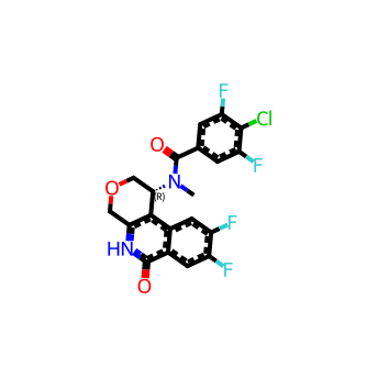 CN(C(=O)c1cc(F)c(Cl)c(F)c1)[C@H]1COCc2[nH]c(=O)c3cc(F)c(F)cc3c21